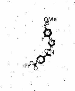 COOSc1ccc(N2CC[C@H](c3ncc(C4CCN(C(=O)OC(C)C)CC4)o3)C2)c(F)c1